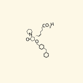 O=C(O)CCC/C=C\C[C@H]1[C@H](N2CCCCC2)C(=O)C[C@H]1OCc1ccc(Cc2ccccc2)cc1